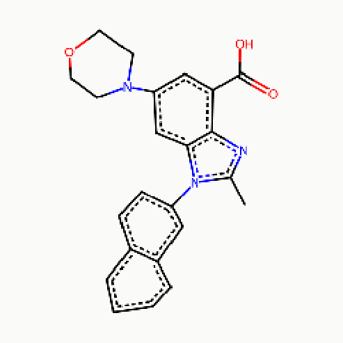 Cc1nc2c(C(=O)O)cc(N3CCOCC3)cc2n1-c1ccc2ccccc2c1